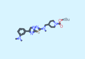 CN(C)c1cccc(-c2cn3nc(N(C)CC4CCN(C(=O)OC(C)(C)C)CC4)sc3n2)c1